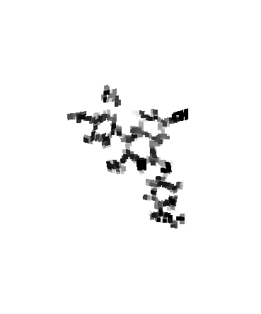 Cc1cc(-c2c(C(C)C)nc(Oc3ccc(C(=O)O)nc3)c3cc(O)ccc23)ccc1F